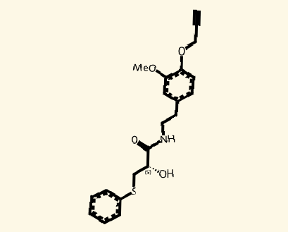 C#CCOc1ccc(CCNC(=O)[C@H](O)CSc2ccccc2)cc1OC